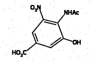 CC(=O)Nc1c(O)cc(C(=O)O)cc1[N+](=O)[O-]